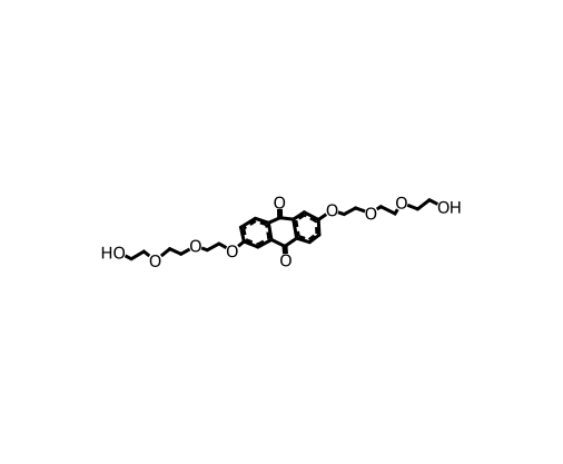 O=C1c2ccc(OCCOCCOCCO)cc2C(=O)c2ccc(OCCOCCOCCO)cc21